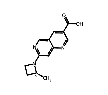 C[C@H]1CCN1c1cc2ncc(C(=O)O)cc2cn1